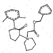 Cc1cccc(C)c1N1CCCC([N+]2(CC(=O)OCc3ccccc3)CCCCC2)C1=O